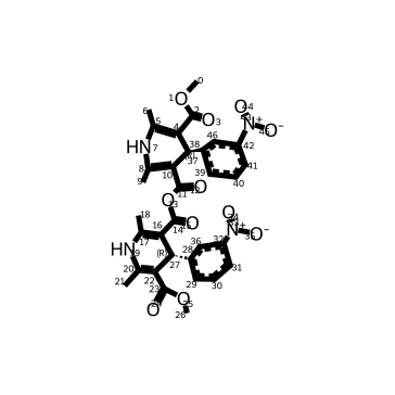 COC(=O)C1=C(C)NC(C)=C(C(=O)OC(=O)C2=C(C)NC(C)=C(C(=O)OC)[C@H]2c2cccc([N+](=O)[O-])c2)[C@@H]1c1cccc([N+](=O)[O-])c1